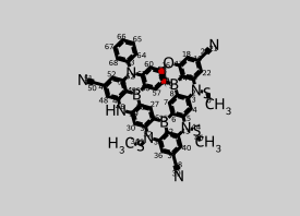 CSN1c2cc3c(cc2B2c4ccccc4Oc4cc(C#N)cc1c42)B1c2cc4c(cc2N(SC)c2cc(C#N)cc(c21)N3SC)Nc1cc(C#N)cc2c1B4c1ccccc1N2c1ccccc1